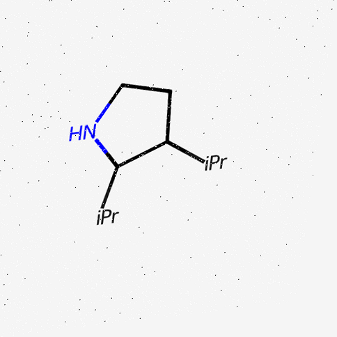 CC(C)C1CCNC1C(C)C